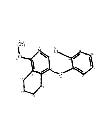 COc1ncc(Sc2ccccc2Cl)c2c1CCCC2